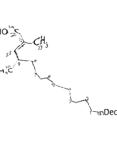 CCCCCCCCCCCCCCCCCC[C@H](C)/C=C(\C)C(=O)O